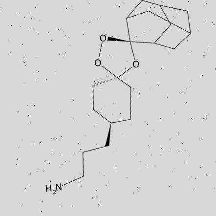 NCCC[C@H]1CC[C@]2(CC1)OO[C@]1(O2)C2CC3CC(C2)CC1C3